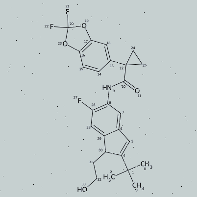 CC(C)(C)C1=Cc2cc(NC(=O)C3(c4ccc5c(c4)OC(F)(F)O5)CC3)c(F)cc2C1CCO